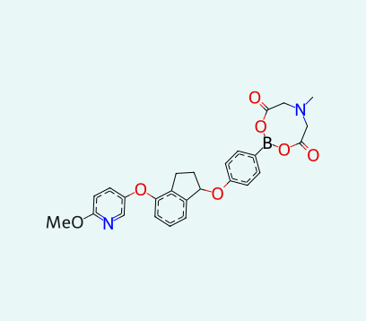 COc1ccc(Oc2cccc3c2CCC3Oc2ccc(B3OC(=O)CN(C)CC(=O)O3)cc2)cn1